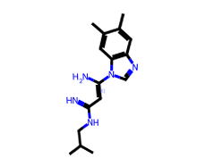 Cc1cc2ncn(/C(N)=C/C(=N)NCC(C)C)c2cc1C